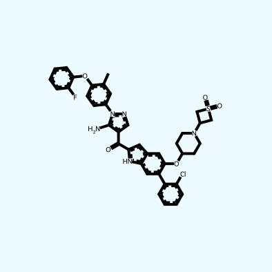 Cc1cc(-n2ncc(C(=O)c3cc4cc(OC5CCN(C6CS(=O)(=O)C6)CC5)c(-c5ccccc5Cl)cc4[nH]3)c2N)ccc1Oc1ccccc1F